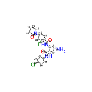 NC1CC(NC(=O)c2ccc(-n3ccccc3=O)cc2F)C(C(=O)Nc2ccc(Cl)cc2)C1